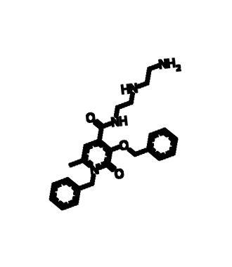 Cc1cc(C(=O)NCCNCCN)c(OCc2ccccc2)c(=O)n1Cc1ccccc1